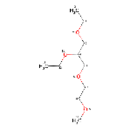 CCOCC(COCCOC)OCC